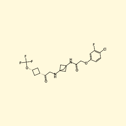 O=C(COc1ccc(Cl)c(F)c1)NC12CC(NCC(=O)[C@H]3C[C@@H](OC(F)(F)F)C3)(C1)C2